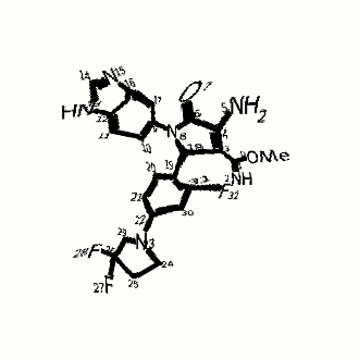 COC(=N)C1=C(N)C(=O)N(c2ccc3[nH]cnc3c2)C1c1ccc(N2CCC(F)(F)C2)cc1F